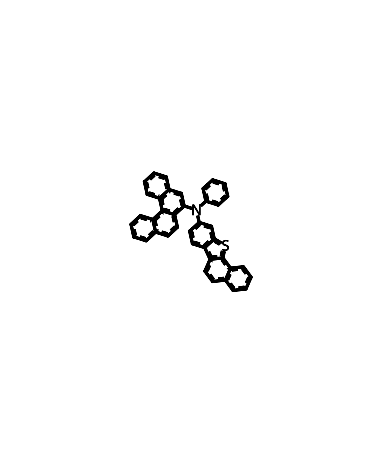 c1ccc(N(c2ccc3c(c2)sc2c4ccccc4ccc32)c2cc3ccccc3c3c2ccc2ccccc23)cc1